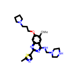 COc1cc2c(NCN3CCNCC3)nc(-c3cnc(C)s3)nc2cc1OCCCN1CCCC1